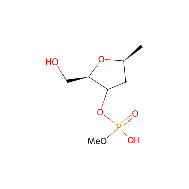 COP(=O)(O)OC1C[C@H](C)O[C@@H]1CO